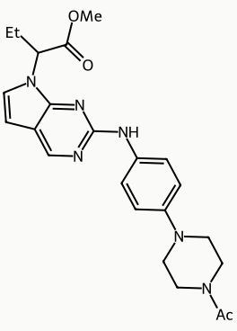 CCC(C(=O)OC)n1ccc2cnc(Nc3ccc(N4CCN(C(C)=O)CC4)cc3)nc21